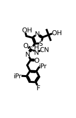 CC(C)c1cc(F)cc(C(C)C)c1CC(=O)N=S(=O)(NC#N)c1sc(C(C)(C)O)nc1CO